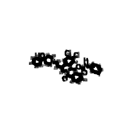 O=C(Nc1ccccc1)OCCN(CC(CCN1CCC(O)(c2ccccc2)CC1)c1ccc(Cl)c(Cl)c1)C(=O)c1ccccc1